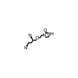 N#CCCC(C#N)COCCN1CCNC1=O